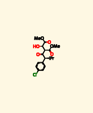 COC(=O)C(O)C(C(=O)OC)C(=O)[C@H](c1ccc(Cl)cc1)C(C)C